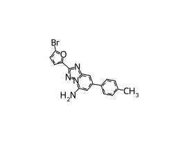 Cc1ccc(-c2cc(N)n3nc(-c4ccc(Br)o4)nc3c2)cc1